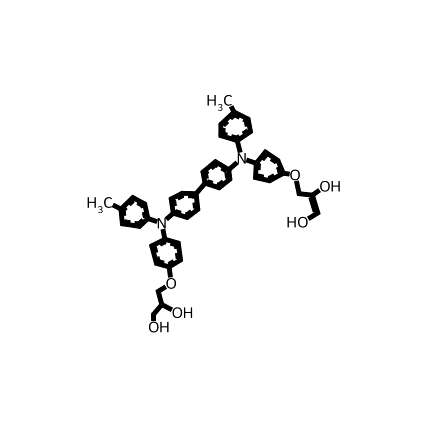 Cc1ccc(N(c2ccc(OC/C(O)=C\O)cc2)c2ccc(-c3ccc(N(c4ccc(C)cc4)c4ccc(OCC(O)CO)cc4)cc3)cc2)cc1